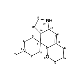 CN1CCC2(CC1)C1OCCCC1=CC1NCCC12